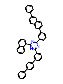 c1ccc(-c2ccc(-c3cccc(-c4nc(-c5cccc(-c6ccc7cc(-c8ccccc8)ccc7c6)c5)nc(-c5cccc6ccccc56)n4)c3)cc2)cc1